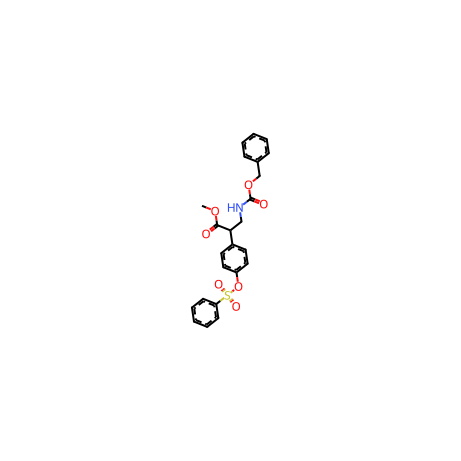 COC(=O)C(CNC(=O)OCc1ccccc1)c1ccc(OS(=O)(=O)c2ccccc2)cc1